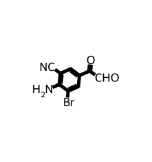 N#Cc1cc(C(=O)C=O)cc(Br)c1N